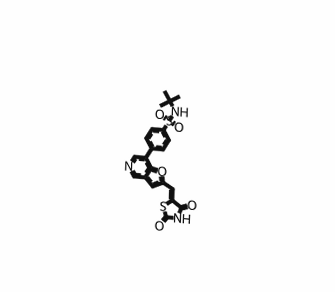 CC(C)(C)NS(=O)(=O)c1ccc(-c2cncc3cc(/C=C4\SC(=O)NC4=O)oc23)cc1